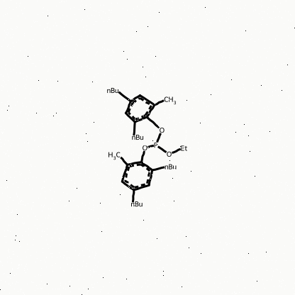 CCCCc1cc(C)c(OP(OCC)Oc2c(C)cc(CCCC)cc2CCCC)c(CCCC)c1